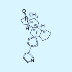 C[C@]12CC[C@@H]3[C@@H](CCC4CCCC[C@@]43Cc3ccc(-c4cccnc4)cc3)[C@@H]1CCC2=O